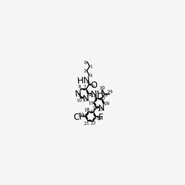 CCCCNC(=O)c1cncnc1Nc1cc(-c2cc(Cl)ccc2F)ncc1C(C)C